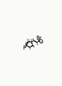 O=C(Br)C=Cc1ccc(F)cc1